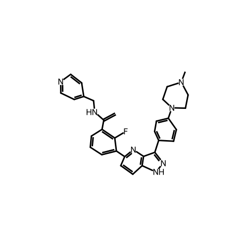 C=C(NCc1ccncc1)c1cccc(-c2ccc3[nH]nc(-c4ccc(N5CCN(C)CC5)cc4)c3n2)c1F